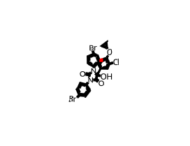 O=C1N(c2ccc(Br)cc2)C(=O)C(O)(c2ccc(OC3CC3)c(Cl)c2)N1c1ccc(Br)cc1